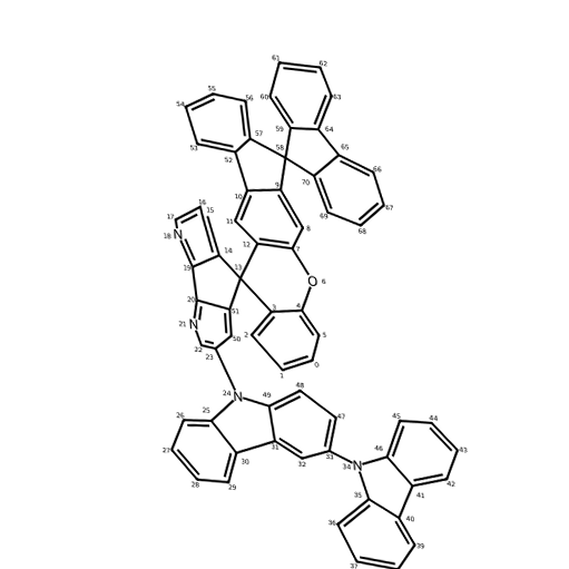 c1ccc2c(c1)Oc1cc3c(cc1C21c2cccnc2-c2ncc(-n4c5ccccc5c5cc(-n6c7ccccc7c7ccccc76)ccc54)cc21)-c1ccccc1C31c2ccccc2-c2ccccc21